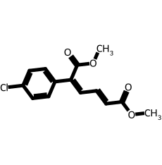 COC(=O)C=CC=C(C(=O)OC)c1ccc(Cl)cc1